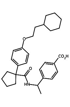 CC(NC(=O)C1(c2ccc(OCCC3CCCCC3)cc2)CCCC1)c1ccc(C(=O)O)cc1